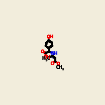 COC(=O)/C=C(\C)NC(C(=O)O)c1ccc(O)cc1